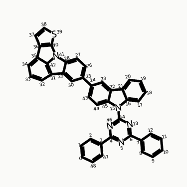 c1ccc(-c2nc(-c3ccccc3)nc(-n3c4ccccc4c4cc(-c5ccc6c(c5)c5cccc7c8ccsc8n6c57)ccc43)n2)cc1